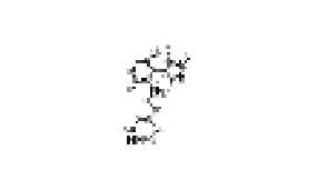 Cc1ccc(Cl)c(-c2c(C)nn(C)c2C)c1N(C)CCN1CCNCC1